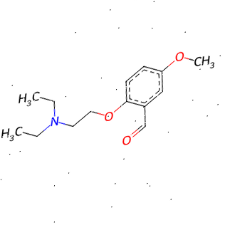 CCN(CC)CCOc1ccc(OC)cc1C=O